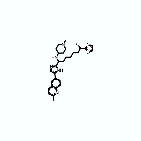 Cc1ccc2cc(-c3cnc([C@H](CCCCCC(=O)c4ncco4)NC4CCN(C)CC4)[nH]3)ccc2n1